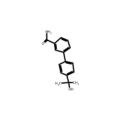 CC(C)(O)c1ccc(-c2cccc(C(N)=O)c2)cc1